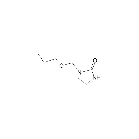 CCCOCN1CCNC1=O